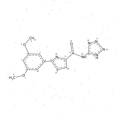 COc1cc(OC)cc(-c2nc(C(=O)Nc3nnn[nH]3)cs2)c1